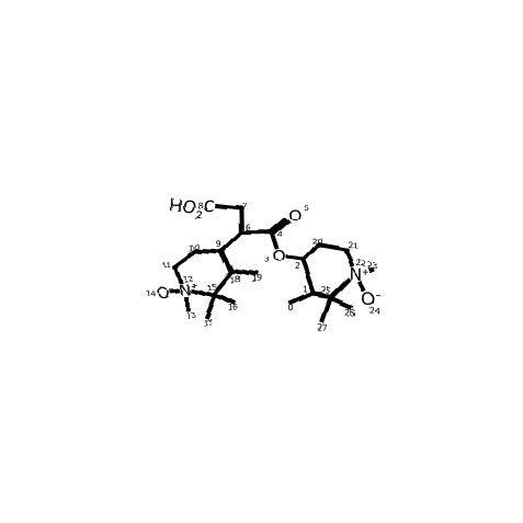 CC1C(OC(=O)C(CC(=O)O)C2CC[N+](C)([O-])C(C)(C)C2C)CC[N+](C)([O-])C1(C)C